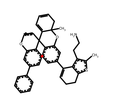 Cc1sc2c(c1CCN)C(c1ccc3c(c1)OC1(C)CC=CC=C1C31c3ccccc3Oc3cc(-c4ccccc4)ccc31)=CCC2